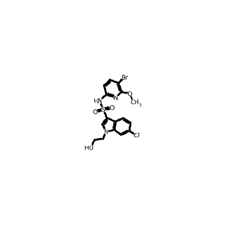 COc1nc(NS(=O)(=O)c2cn(CCO)c3cc(Cl)ccc23)ccc1Br